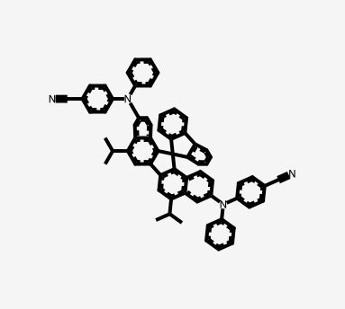 CC(C)c1cc2c(c3ccc(N(c4ccccc4)c4ccc(C#N)cc4)cc13)C1(c3ccccc3-c3ccccc31)c1c-2cc(C(C)C)c2cc(N(c3ccccc3)c3ccc(C#N)cc3)ccc12